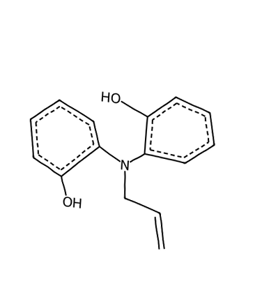 C=CCN(c1ccccc1O)c1ccccc1O